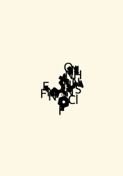 CN(C)C(=O)NCC1(C)CC2=C(c3cnn(C(F)F)c3)[C@H](c3ccc(F)cc3Cl)N=C(c3nccs3)N2C1